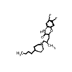 CCCCC1CCN(CC(C)CC2Oc3cc(F)c(F)cc3NC2=O)CC1